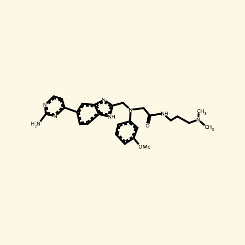 COc1cccc(N(CC(=O)NCCCN(C)C)Cc2nc3cc(-c4ccnc(N)n4)ccc3[nH]2)c1